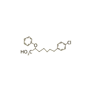 O=C(O)C(CCCCCc1ccc(Cl)cc1)Oc1ccccc1